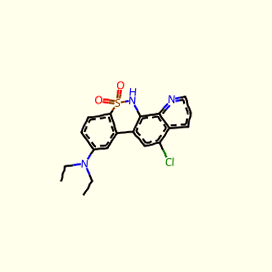 CCN(CC)c1ccc2c(c1)-c1cc(Cl)c3cccnc3c1NS2(=O)=O